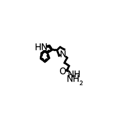 NNC(=O)CCCN1CCC(c2c[nH]c3ccccc23)C1